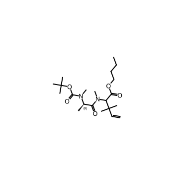 C=CC(C)(C)C(C(=O)OCCCC)N(C)C(=O)[C@@H](C)N(C)C(=O)OC(C)(C)C